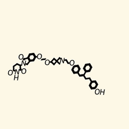 O=C1CCC(N2Cc3cc(OCCOC4CC5(C4)CN(CCOc4ccc(/C=C(/CCc6ccc(O)cc6)c6ccccc6)cc4)C5)ccc3C2=O)C(=O)N1